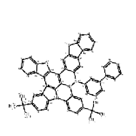 CC(C)(C)c1ccc2c(c1)B1c3c(c4oc5ccccc5c4c4c5cc(C(C)(C)C)ccc5n-2c34)-c2cc3sc4ccccc4c3cc2N1c1cccc(-c2ccccc2)c1